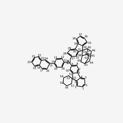 c1ccc2c(c1)-c1ccc(N(c3ccc(-c4ccc5ccccc5c4)cc3)c3ccc4c(c3)C3(c5ccccc5-4)C4CCC5CC(C4)CC3C5)cc1C21CCCCC1